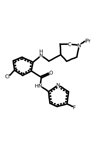 CC(C)N1CCC(CNc2ccc(Cl)cc2C(=O)Nc2ccc(F)cn2)CC1